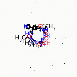 CCCCN1C(=O)NCc2cc(ccc2-c2ccncc2)C(=O)N[C@@H](CC(C)C)C(=O)NC(=O)N[C@@H]([C@@H](C)O)C(=O)N[C@H](C)[C@H]1C